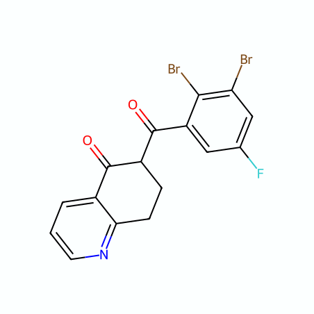 O=C1c2cccnc2CCC1C(=O)c1cc(F)cc(Br)c1Br